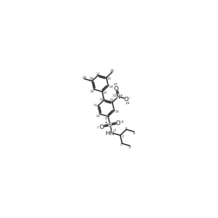 CCC(CC)NS(=O)(=O)c1ccc(-c2cc(C)cc(C)c2)c([N+](=O)[O-])c1